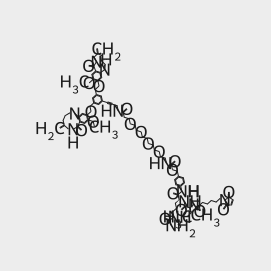 C=C1CC/C=N\c2cc(OCc3cc(C#CCNC(=O)CCOCCOCCOCCOCCNC(=O)OCc4ccc(NC(=O)[C@H](CCCNC(N)=O)NC(=O)[C@@H](NC(=O)CCCCCN5C(=O)C=CC5=O)C(C)C)cc4)cc(COc4cc5c(cc4OC)C(=O)N4CC(=C)C[C@H]4C=N5)c3)c(OC)cc2C(=O)NC1